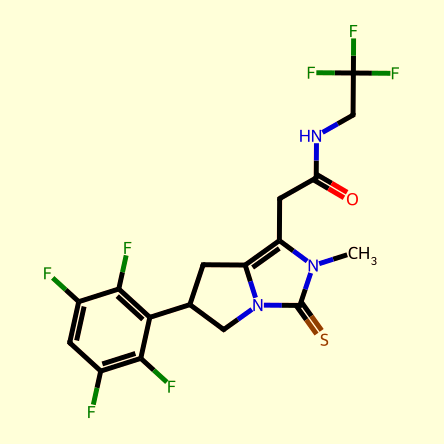 Cn1c(CC(=O)NCC(F)(F)F)c2n(c1=S)CC(c1c(F)c(F)cc(F)c1F)C2